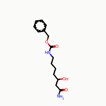 NC(=O)CC(O)CCCCNC(=O)OCc1ccccc1